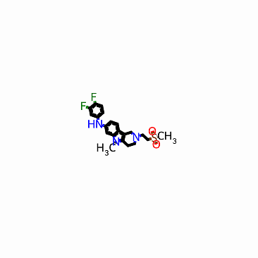 Cn1c2c(c3ccc(Nc4ccc(F)c(F)c4)cc31)CN(CCS(C)(=O)=O)CC2